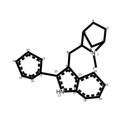 CN1C2CCC(C2)C1Cc1c(-c2ccccc2)[nH]c2ccccc12